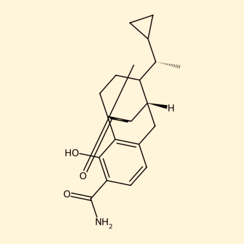 C[C@@H](C1CC1)C1CCC23CC(=O)CCC2[C@H]1Cc1ccc(C(N)=O)c(O)c13